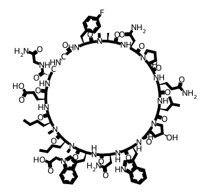 CCCC[C@H]1C(=O)N(C)[C@@H](CCCC)C(=O)N[C@@H](CCC(=O)O)C(=O)N[C@H](C(=O)NCC(N)=O)CNCC(=O)N[C@@H](Cc2ccc(F)cc2)C(=O)N(C)[C@@H](C)C(=O)N[C@@H](CC(N)=O)C(=O)N2CCC[C@H]2C(=O)N[C@@H](CCC(N)=O)C(=O)N[C@@H](CC(C)C)C(=O)N2C[C@H](O)C[C@H]2C(=O)N[C@@H](Cc2c[nH]c3ccccc23)C(=O)N[C@@H](CC(N)=O)C(=O)N[C@@H](Cc2cn(CC(=O)O)c3ccccc23)C(=O)N1C